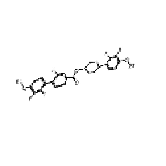 CCOc1ccc(-c2ccc(C(=O)OC3CCC(c4ccc(OCC)c(F)c4F)CC3)cc2F)c(F)c1F